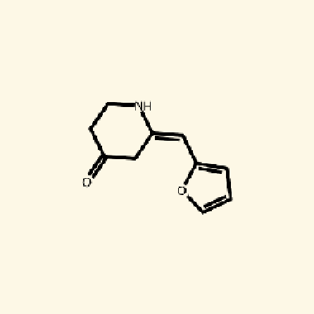 O=C1CCNC(=Cc2ccco2)C1